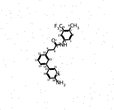 Cc1ccc(NC(=O)CCc2cccc(-c3ccc(N)nc3)c2)cc1C(F)(F)F